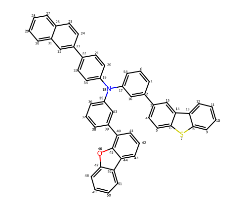 c1cc(-c2ccc3sc4ccccc4c3c2)cc(N(c2ccc(-c3ccc4ccccc4c3)cc2)c2cccc(-c3cccc4c3oc3ccccc34)c2)c1